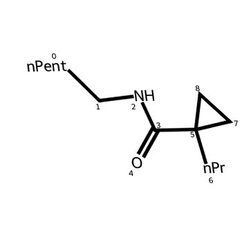 CCCCCCNC(=O)C1(CCC)CC1